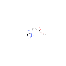 CC(C)(C)OC(=O)C(O)[C@@H]1CC[C@H](n2cnc3c(O)ncnc32)O1